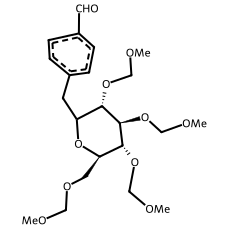 COCOC[C@H]1OC(Cc2ccc(C=O)cc2)[C@H](OCOC)[C@@H](OCOC)[C@@H]1OCOC